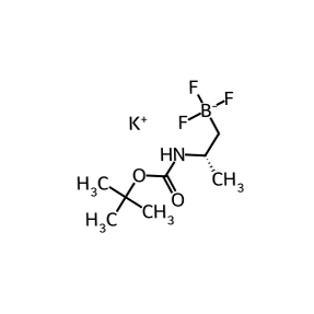 C[C@@H](C[B-](F)(F)F)NC(=O)OC(C)(C)C.[K+]